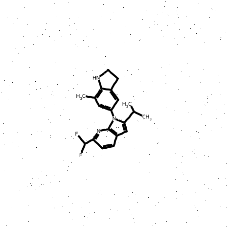 Cc1cc(-n2c(C(C)C)cc3ccc(C(F)F)nc32)cc2c1NCC2